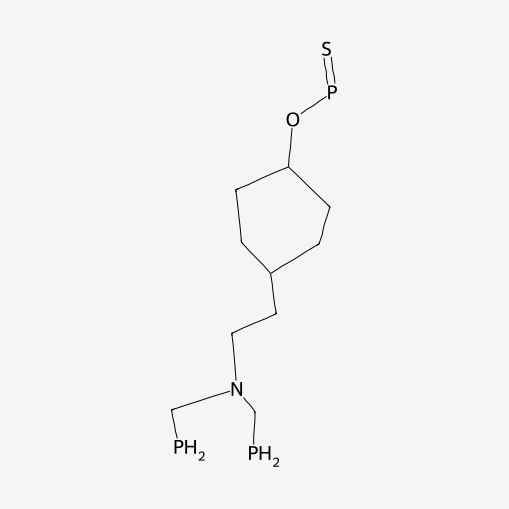 PCN(CP)CCC1CCC(OP=S)CC1